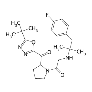 CC(C)(Cc1ccc(F)cc1)NCC(=O)N1CCCC1C(=O)c1nnc(C(C)(C)C)o1